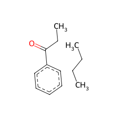 CCC(=O)c1ccccc1.CCCC